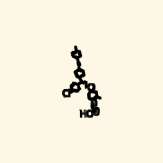 Cc1ccc(C#Cc2ccc(/C(=C/COc3ccc(OCC(=O)O)c(C)c3)c3ccc(Cl)cc3)cc2)cc1